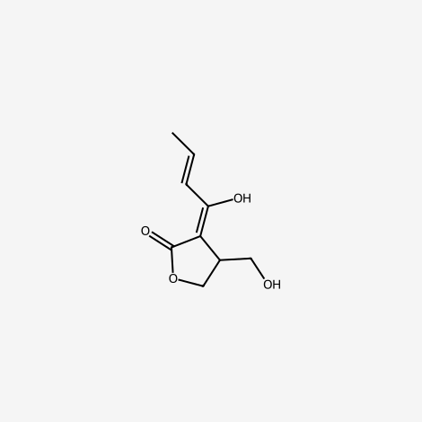 CC=CC(O)=C1C(=O)OCC1CO